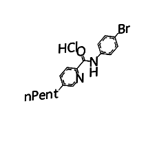 CCCCCc1ccc(C(=O)Nc2ccc(Br)cc2)nc1.Cl